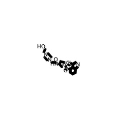 O=C(CN1CCN(CCO)CC1)N[C@H]1CCN(S(=O)(=O)c2cccc3cncc(Cl)c23)C1